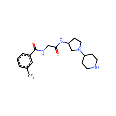 O=C(CNC(=O)c1cccc(C(F)(F)F)c1)NC1CCN(C2CCNCC2)C1